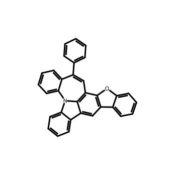 C1=C(c2ccccc2)c2ccccc2-n2c3ccccc3c3cc4c(oc5ccccc54)c1c32